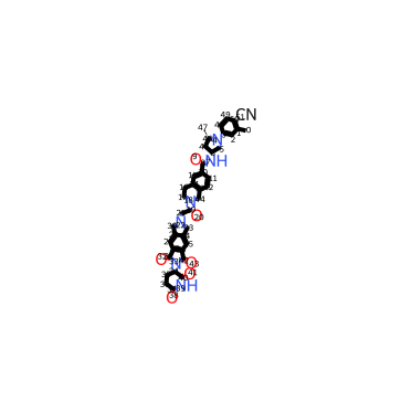 Cc1cc(N2C[C@H](NC(=O)c3ccc4c(c3)CCN(C(=O)CN3Cc5cc6c(cc5C3)C(=O)N(C3CCC(=O)NC3=O)C6=O)C4)C[C@@H]2C)ccc1C#N